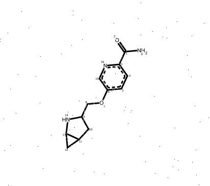 NC(=O)c1ccc(OCC2CC3CC3N2)cn1